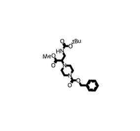 COC(=O)C(CNC(=O)OC(C)(C)C)N1CCN(C(=O)OCc2ccccc2)CC1